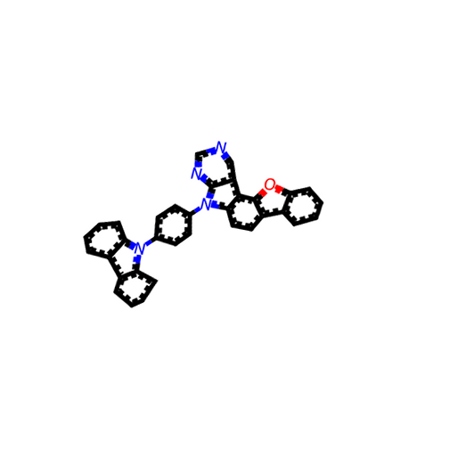 c1ccc2c(c1)oc1c2ccc2c1c1cncnc1n2-c1ccc(-n2c3ccccc3c3ccccc32)cc1